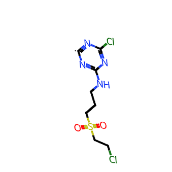 O=S(=O)(CCCl)CCCNc1n[c]nc(Cl)n1